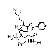 CC(C)C[C@@H](C(=O)NN)[C@H](C(=O)NO)C(/C=C/c1ccccc1)(CC(C)C)C(=O)[C@@H](N)CCCCN